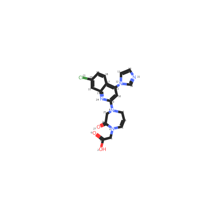 O=C(O)CN1C=CCN(c2cc(-n3ccnc3)c3ccc(Cl)cc3n2)CC1=O